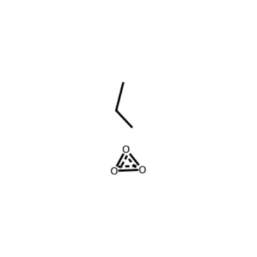 CCC.o1oo1